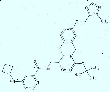 Cc1ncoc1COc1ccc2c(c1)CN(C(=O)OC(C)(C)C)[C@H]([C@H](O)CNC(=O)c1cc(NC3CCC3)ccn1)C2